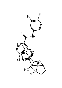 O=C(Nc1ccc(F)c(F)c1)c1ccc(Cl)c(S(=O)(=O)[C@@H]2CC3CC[C@@H](C2)[C@@]3(O)C(O)c2ccc(C(F)(F)F)cn2)c1